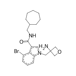 NC1(Cn2cc(C(=O)NCC3CCCCCC3)c3c(Br)cccc32)COC1